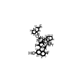 CC(C)[Si](C#Cc1c(F)ccc2cc(O)cc(-c3ncc4c(N5CC6CCC(C5)N6)nc(OC[C@@]56CCCN5C[C@H](F)C6)nc4c3F)c12)(C(C)C)C(C)C